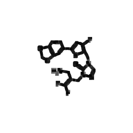 NCC(Cn1ncn(Cc2sc(-c3ccc4c(c3)OCO4)cc2F)c1=O)=C(F)F